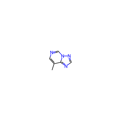 Cc1cncn2ncnc12